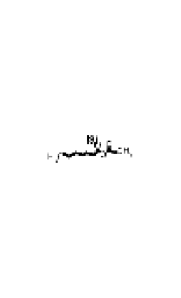 CCCCCCCC(=O)OC(=O)CC.[Ru].[Ru]